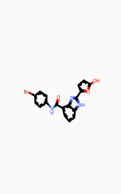 O=C(Nc1ccc(Br)cc1)c1cccc2[nH]c(-c3ccc(O)o3)nc12